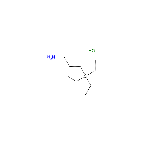 CC[Si](CC)(CC)CCCN.Cl